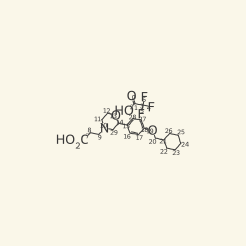 O=C(O)C(F)(F)F.O=C(O)CCN1CCOC(c2ccc(OCC3CCCCC3)cc2)C1